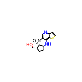 O=[N+]([O-])c1cnc2ccsc2c1N[C@H]1CC[C@@H](CO)C1